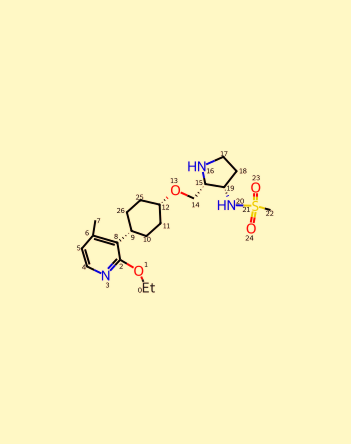 CCOc1nccc(C)c1[C@H]1CC[C@@H](OC[C@@H]2NCC[C@@H]2NS(C)(=O)=O)CC1